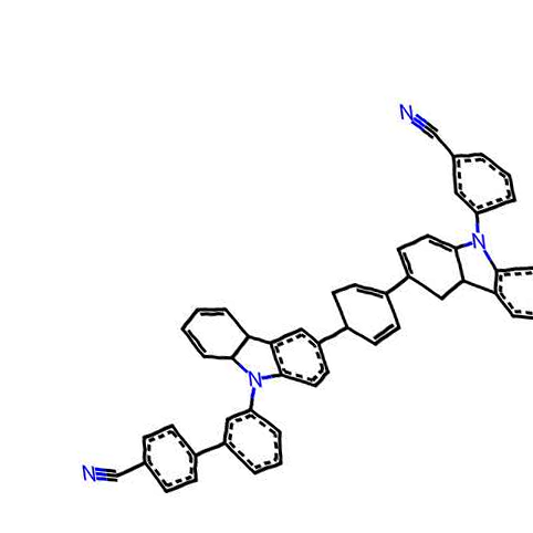 N#Cc1ccc(-c2cccc(N3c4ccc(C5C=CC(C6=CC=C7C(C6)c6ccccc6N7c6cccc(C#N)c6)=CC5)cc4C4C=CC=CC43)c2)cc1